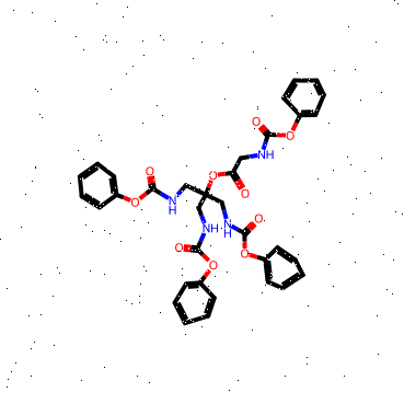 O=C(CNC(=O)Oc1ccccc1)OC(CNC(=O)Oc1ccccc1)(CNC(=O)Oc1ccccc1)CNC(=O)Oc1ccccc1